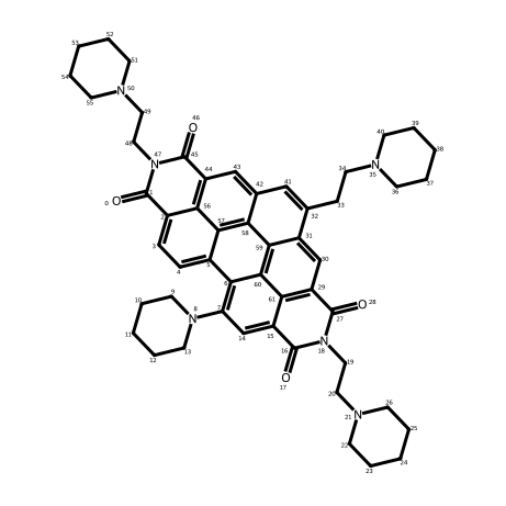 O=c1c2ccc3c4c(N5CCCCC5)cc5c(=O)n(CCN6CCCCC6)c(=O)c6cc7c(CCN8CCCCC8)cc8cc(c(=O)n1CCN1CCCCC1)c2c3c8c7c4c56